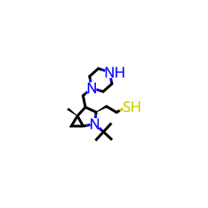 CC(C)(C)N1C2C[C@]2(C)C(CN2CCNCC2)[C@H]1CCS